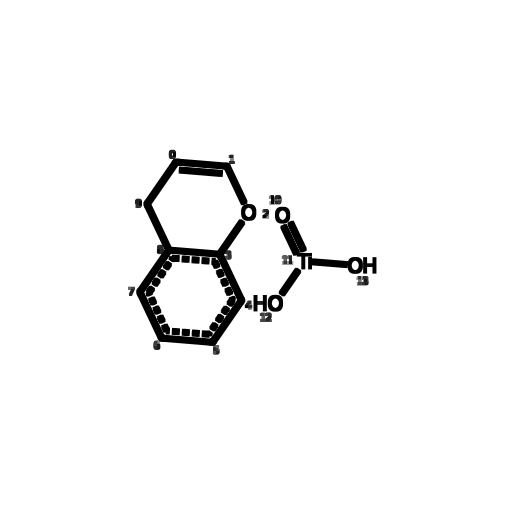 C1=COc2ccccc2C1.[O]=[Ti]([OH])[OH]